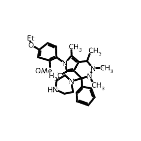 CCOc1ccc(-n2c(C)c3c(c2C)C(c2ccccc2)(N2CCNCC2)N(C)N(C)C3C)c(OC)c1